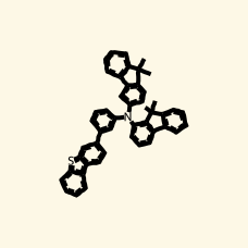 CC1(C)c2ccccc2-c2cc(N(c3cccc(-c4ccc5c(c4)sc4ccccc45)c3)c3cccc4c3C(C)(C)c3ccccc3-4)ccc21